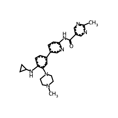 Cc1ncc(C(=O)Nc2ccc(-c3ccc(NC4CC4)c(N4CCN(C)CC4)c3)cn2)cn1